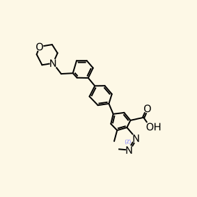 C/N=N\c1c(C)cc(-c2ccc(-c3cccc(CN4CCOCC4)c3)cc2)cc1C(=O)O